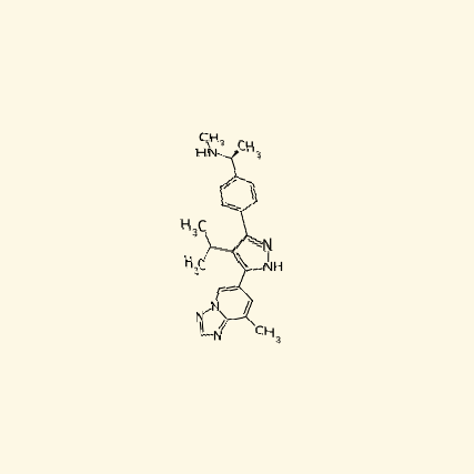 CN[C@@H](C)c1ccc(-c2n[nH]c(-c3cc(C)c4ncnn4c3)c2C(C)C)cc1